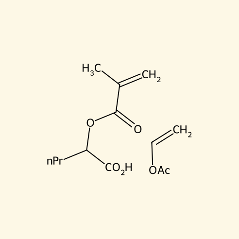 C=C(C)C(=O)OC(CCC)C(=O)O.C=COC(C)=O